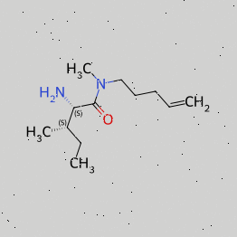 C=CCCCN(C)C(=O)[C@@H](N)[C@@H](C)CC